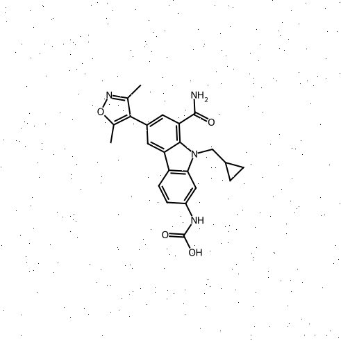 Cc1noc(C)c1-c1cc(C(N)=O)c2c(c1)c1ccc(NC(=O)O)cc1n2CC1CC1